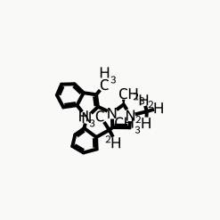 [2H]C(C)(C)c1ccccc1-n1c(N2C=CN(C([2H])([2H])[2H])[C@@H]2C)c(C)c2ccccc21